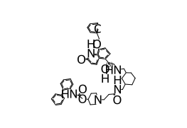 O=C(CCN1CCC(OC(=O)Nc2ccccc2-c2ccccc2)CC1)NCC1CCCC(CNC[C@@H](O)c2ccc(OCc3ccccc3)c3[nH]c(=O)ccc23)C1